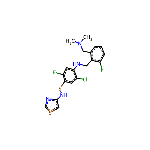 CN(C)Cc1cccc(F)c1CNc1cc(F)c(SNc2cscn2)cc1Cl